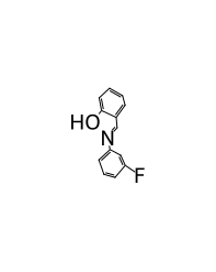 Oc1ccccc1C=Nc1cccc(F)c1